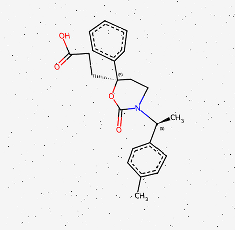 Cc1ccc([C@H](C)N2CC[C@](CCC(=O)O)(c3ccccc3)OC2=O)cc1